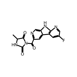 CC1NC(=O)N(C(=O)c2cc3c(cn2)[nH]c2ncc(F)cc23)C1=O